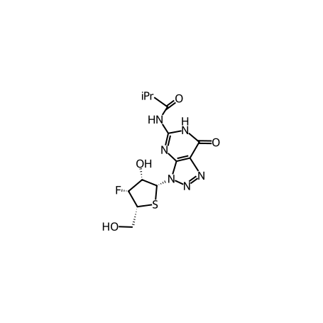 CC(C)C(=O)Nc1nc2c(nnn2[C@@H]2S[C@H](CO)[C@H](F)[C@@H]2O)c(=O)[nH]1